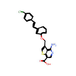 Nc1ncc(C(=O)O)c2scc(COc3cccc(/C=C/c4ccc(Cl)cc4)c3)c12